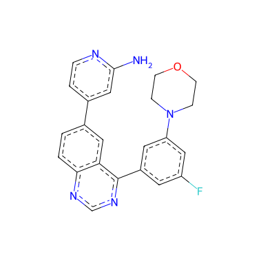 Nc1cc(-c2ccc3ncnc(-c4cc(F)cc(N5CCOCC5)c4)c3c2)ccn1